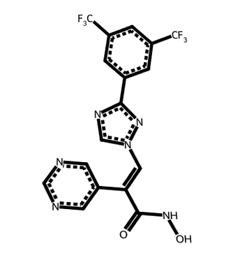 O=C(NO)/C(=C/n1cnc(-c2cc(C(F)(F)F)cc(C(F)(F)F)c2)n1)c1cncnc1